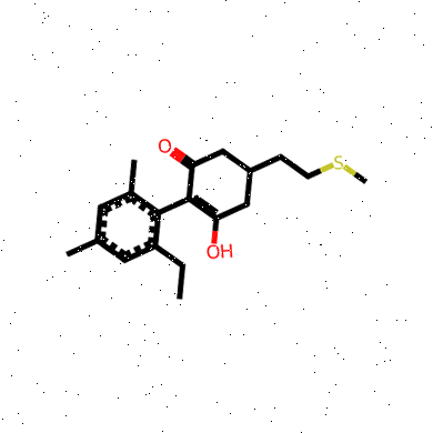 CCc1cc(C)cc(C)c1C1=C(O)CC(CCSC)CC1=O